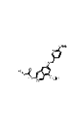 CCNC(=O)Nc1cc2cc(NCc3ccc(OC)nc3)cc(C)c2cn1.Cl